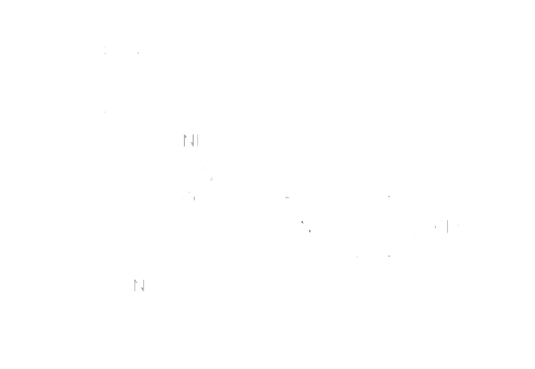 C/C(CCC(=O)NC(C/C=C/CN(C)C)C1CCCCC1)=N\c1ccc(Cl)cc1C